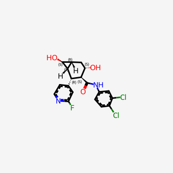 O=C(Nc1ccc(Cl)c(Cl)c1)[C@H]1[C@H](c2ccnc(F)c2)[C@@H]2[C@@H](O)[C@@H]2C[C@@H]1O